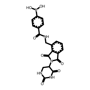 O=C1NCC(N2C(=O)c3cccc(CNC(=O)c4ccc(B(O)O)cc4)c3C2=O)C(=O)N1